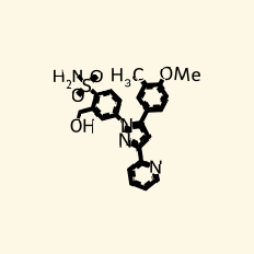 COc1ccc(-c2cc(-c3ccccn3)nn2-c2ccc(S(N)(=O)=O)c(CO)c2)cc1C